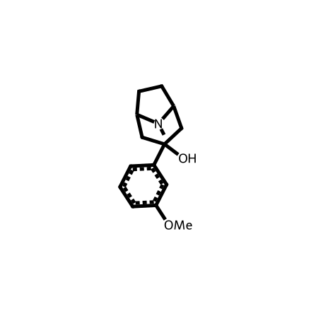 COc1cccc(C2(O)CC3CCC(C2)N3C)c1